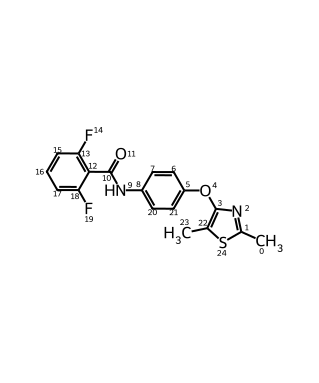 Cc1nc(Oc2ccc(NC(=O)c3c(F)cccc3F)cc2)c(C)s1